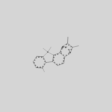 Cc1c(C)c2oc1c1ccc3c(c21)C(C)(C)c1cccc(Cl)c1-3